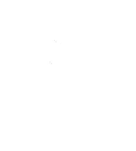 NS(=O)(=O)Nc1ccc(C(=O)CBr)cc1